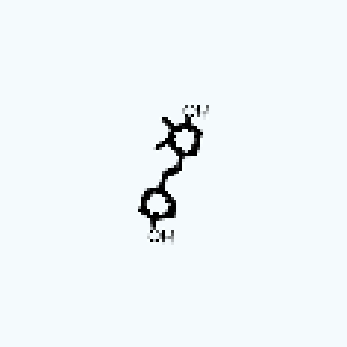 Cc1c(O)ccc(C=Cc2ccc(O)cc2)c1C